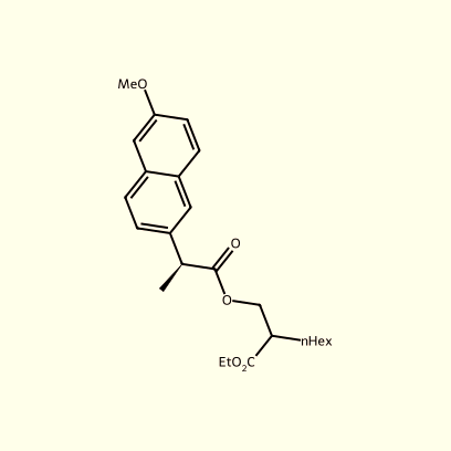 CCCCCCC(COC(=O)[C@@H](C)c1ccc2cc(OC)ccc2c1)C(=O)OCC